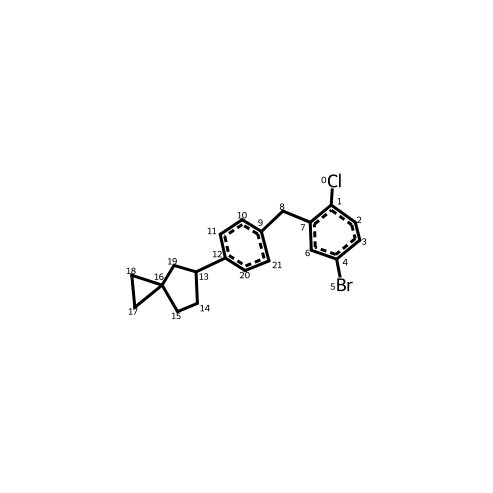 Clc1ccc(Br)cc1Cc1ccc(C2CCC3(CC3)C2)cc1